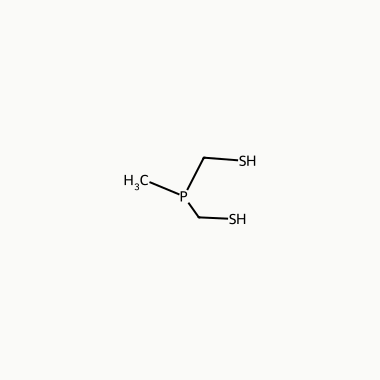 CP(CS)CS